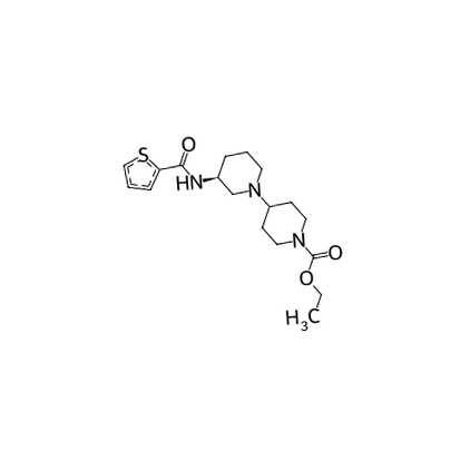 CCOC(=O)N1CCC(N2CCC[C@H](NC(=O)c3cccs3)C2)CC1